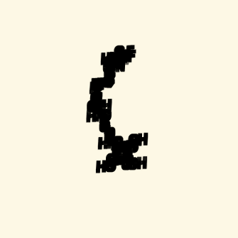 N#C[C@@H]1CC(F)(F)CN1C(=O)[C@@H]1C[C@H](CC(=O)N2Cc3cccc(Cn4cc(-c5ccc(C(=O)NCCNC(=O)CCOCCOCCNC(=O)CN6CCN(CC(=O)O)CCN(CC(=O)O)CCN(CC(=O)O)CC6)cc5)nn4)c3C2)C(=O)N1